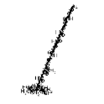 CC(=O)COCCOCCNC(=O)COCCOCCNC(=O)CCCC(=O)NCCOCCOCC(=O)NCCOCCOCC(=O)C[C@@H](CCCCNC(=O)CCCC(=O)NC(CNC(C)/C(C)=N/O)CNC(C)(C)/C(C)=N/O)C(N)=O